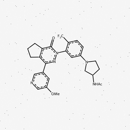 COc1cncc(-c2nn(-c3cc(N4CCC(NC(C)=O)C4)ccc3C(F)(F)F)c(=O)c3c2CCC3)c1